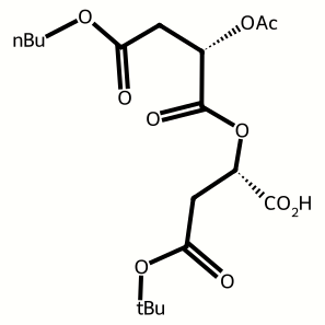 CCCCOC(=O)C[C@H](OC(C)=O)C(=O)O[C@@H](CC(=O)OC(C)(C)C)C(=O)O